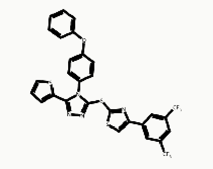 FC(F)(F)c1cc(-c2csc(Sc3nnc(-c4cccs4)n3-c3ccc(Oc4ccccc4)cc3)n2)cc(C(F)(F)F)c1